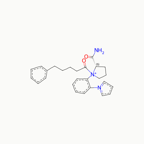 NC(=O)[C@@H]1CCC[N+]1(C(=O)CCCCc1ccccc1)c1ccccc1-n1cccc1